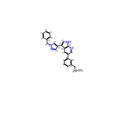 CC(=O)NCc1cccc(-c2cnc3[nH]cc(-c4cnn(Cc5ccccc5)c4)c3c2)c1